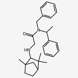 CC(c1ccccc1)N(Cc1ccccc1)C(=O)CNC1C2(C)CCC(C2)C1(C)C